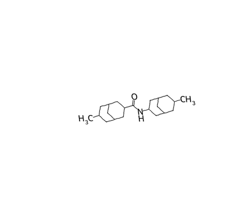 CC1CC2CC(C1)CC(NC(=O)C1CC3CC(C)CC(C3)C1)C2